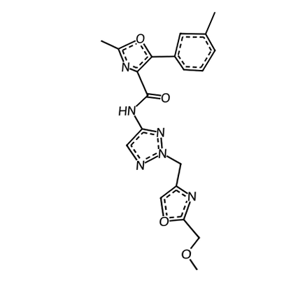 COCc1nc(Cn2ncc(NC(=O)c3nc(C)oc3-c3cccc(C)c3)n2)co1